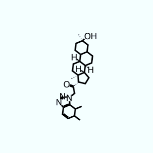 CC1C=Cc2nnn(CC(=O)[C@H]3CC[C@H]4[C@@H]5CCC6C[C@](C)(O)CCC6[C@H]5CC[C@]34C)c2C1C